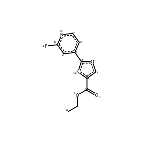 CCOC(=O)c1coc(-c2ccnc(F)c2)n1